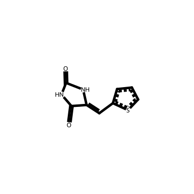 O=C1NC(=O)/C(=C/c2cccs2)N1